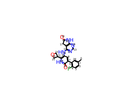 Cc1ccc(F)c(-c2cc(Nc3ncnc4c3CC(=O)N4)c(C3COC3)[nH]c2=O)c1